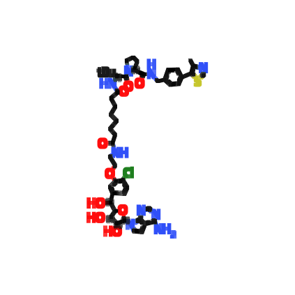 Cc1ncsc1-c1ccc(CNC(=O)[C@@H]2CCCN2C(=O)[C@@H](NC(=O)CCCCCCC(=O)NCCOc2cc([C@H](O)C3O[C@@H](n4ccc5c(N)ncnc54)[C@H](O)[C@@H]3O)ccc2Cl)C(C)(C)C)cc1